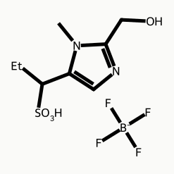 CCC(c1cnc(CO)n1C)S(=O)(=O)O.F[B-](F)(F)F